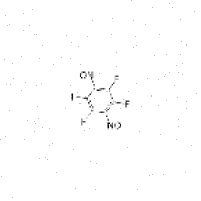 O=Nc1c(F)c(F)c(N=O)c(F)c1F